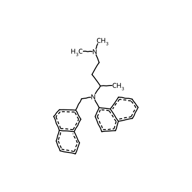 CC(CCN(C)C)N(Cc1ccc2ccccc2c1)c1cccc2ccccc12